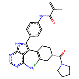 C=C(C)C(=O)Nc1ccc(-c2[nH]c3ncnc(N)c3c2C2=C(F)C[C@@H](C(=O)N3CCCC3)CC2)cc1